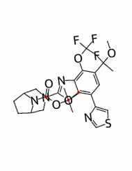 COC(C)(C)c1cc(-c2cscn2)c2oc(N3CC4CCC(C3)N4C(=O)OC(C)(C)C)nc2c1OC(F)(F)F